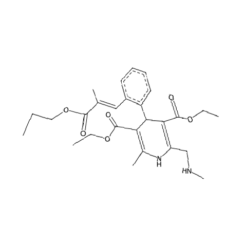 CCCOC(=O)/C(C)=C/c1ccccc1C1C(C(=O)OCC)=C(C)NC(CNC)=C1C(=O)OCC